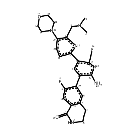 CN(C)Cc1nc(-c2cc(-c3cc4c(cc3F)C(=O)NCC4)c(N)nc2F)ccc1N1CCOCC1